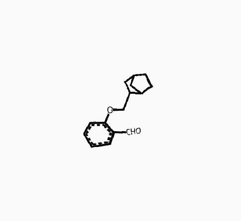 O=Cc1ccccc1OCC1CC2CCC1C2